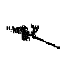 CCCCCCCCCCCCCCCCCCOC[C@H](COP(=O)(Oc1ccccc1Cl)OC1[C@@]2(C#N)O[C@@H](c3ccc4c(N)ncnn34)[C@@H]3OC(C)(C)O[C@@]132)OCc1ccc(OC)c(C#N)c1